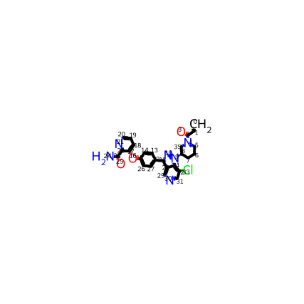 C=CC(=O)N1CCC[C@@H](n2nc(-c3ccc(Oc4cccnc4C(N)=O)cc3)c3cncc(Cl)c32)C1